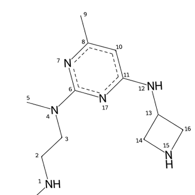 CNCCN(C)c1nc(C)cc(NC2CNC2)n1